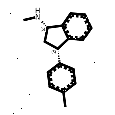 CN[C@H]1C[C@@H](c2ccc(C)cc2)c2ccccc21